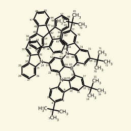 CC(C)(C)c1ccc2c(c1)c1cc(C(C)(C)C)cc3c1n2-c1cc(-n2c4ccccc4c4cccc(-c5cccc6c5C5(c7ccccc7-c7ccccc75)c5ccccc5-6)c42)cc2c1B3c1cc(C(C)(C)C)cc3c4cc(C(C)(C)C)ccc4n-2c13